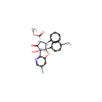 COC(=O)[C@H]1C(=O)[C@@]2(O)c3ncc(Cl)cc3O[C@@]2(c2ccc(C)cc2)[C@@H]1c1ccccc1